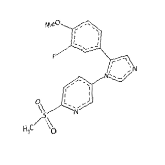 COc1ccc(-c2cncn2-c2ccc(S(C)(=O)=O)nc2)cc1F